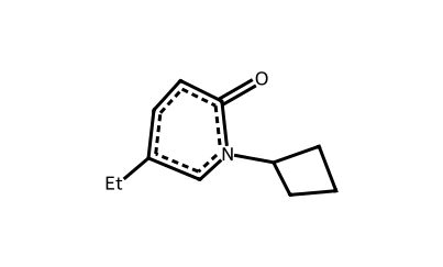 CCc1ccc(=O)n(C2CCC2)c1